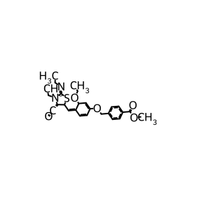 CCN=C1SC(C=C2C=CC(OCc3ccc(C(=O)OC)cc3)=CC2OCC)C(=C=O)N1CC